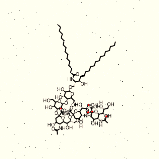 CCCCCCCCCCCCC/C=C/[C@@H](O)[C@H](CO[C@@H]1OC(CO)[C@@H](O[C@@H]2OC(CO)[C@H](O)[C@H](O[C@]3(C(=O)O)CC(O)[C@@H](NC(C)=O)C([C@H](O)[C@@H](CO)O[C@]4(C(=O)O)CC(O)[C@@H](NC(C)=O)C([C@H](O)[C@@H](CO)O[C@]5(C(=O)O)CC(O)[C@@H](NC(C)=O)C([C@H](O)[C@H](O)CO)O5)O4)O3)C2O)[C@H](O)C1O)NC(=O)CCCCCCCCCCCCCCC